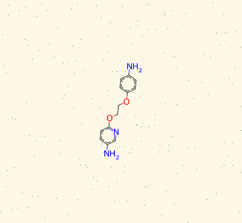 Nc1ccc(OCCOc2ccc(N)cn2)cc1